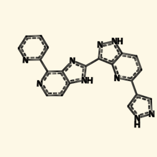 c1ccc(-c2nccc3[nH]c(-c4n[nH]c5ccc(-c6cn[nH]c6)nc45)nc23)nc1